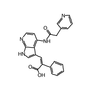 O=C(Cc1cccnc1)Nc1ccnc2[nH]cc(C=C(C(=O)O)c3ccccc3)c12